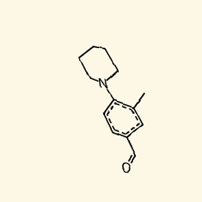 Cc1cc(C=O)ccc1N1CCCCC1